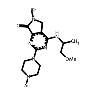 COCC(C)Nc1nc(N2CCN(C(C)=O)CC2)nc2c1CN(C(C)C)C2=O